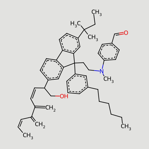 C=C(/C=C\C)C(=C)/C=C\C(CO)c1ccc2c(c1)C(CCN(C)c1ccc(C=O)cc1)(c1cccc(CCCCCC)c1)c1cc(C(C)(C)CC)ccc1-2